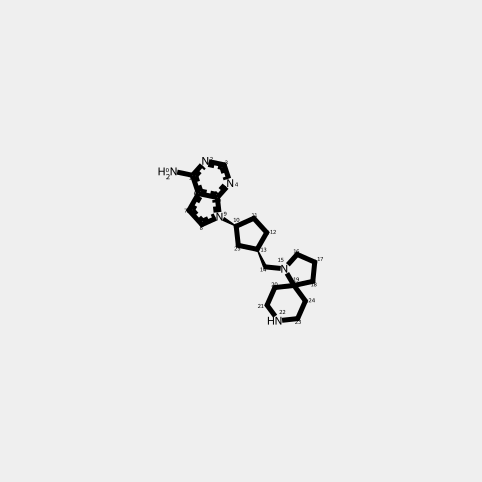 Nc1ncnc2c1ccn2[C@H]1CC[C@@H](CN2CCCC23CCNCC3)C1